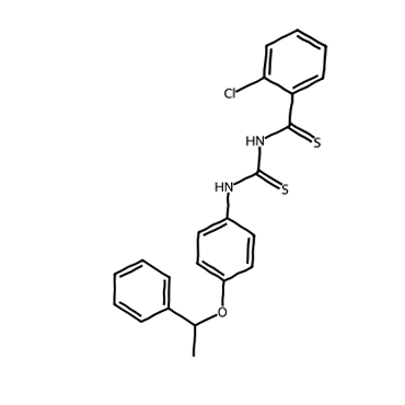 CC(Oc1ccc(NC(=S)NC(=S)c2ccccc2Cl)cc1)c1ccccc1